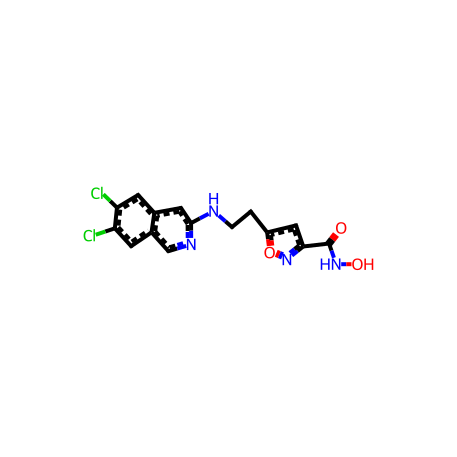 O=C(NO)c1cc(CCNc2cc3cc(Cl)c(Cl)cc3cn2)on1